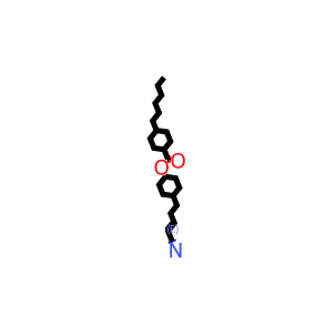 CCCCCCC1CCC(C(=O)OC2CCC(CC/C=C/C#N)CC2)CC1